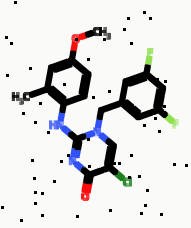 COc1ccc(Nc2nc(=O)c(Cl)cn2Cc2cc(F)cc(F)c2)c(C)c1